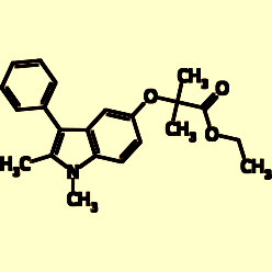 CCOC(=O)C(C)(C)Oc1ccc2c(c1)c(-c1ccccc1)c(C)n2C